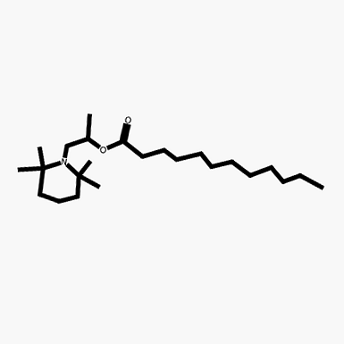 CCCCCCCCCCCC(=O)OC(C)CN1C(C)(C)CCCC1(C)C